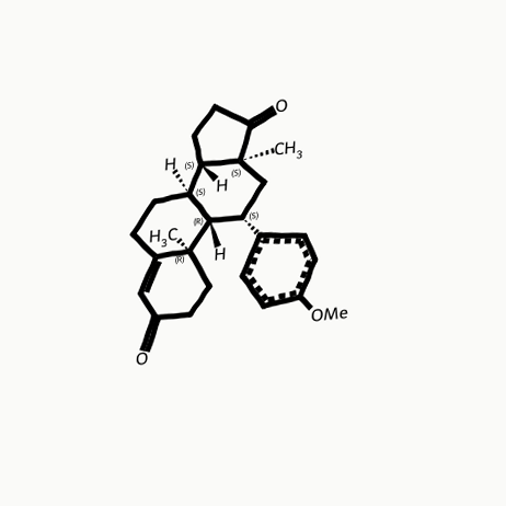 COc1ccc([C@H]2C[C@]3(C)C(=O)CC[C@H]3[C@@H]3CCC4=CC(=O)CC[C@]4(C)[C@H]32)cc1